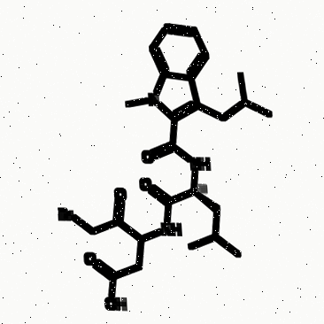 CC(C)Cc1c(C(=O)N[C@@H](CC(C)C)C(=O)NC(CC(=O)O)C(=O)CBr)n(C)c2ccccc12